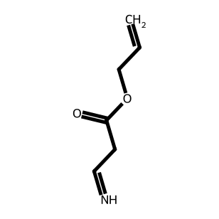 C=CCOC(=O)CC=N